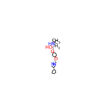 CC(C)NCC(O)COc1ccc(OCCn2cc(-c3ccccc3)cn2)cc1